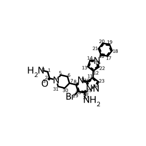 NCC(=O)N1CCC(c2nc3c(-c4ccn(-c5ccccc5)c4)cnn3c(N)c2Br)CC1